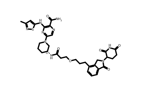 Cc1cc(Nc2nc(N3CCC[C@@H](NC(=O)CCOCCCc4cccc5c4CN(C4CCC(=O)NC4=O)C5=O)C3)cnc2C(N)=O)sn1